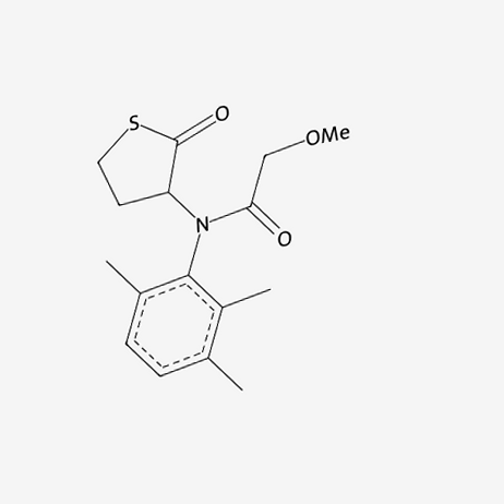 COCC(=O)N(c1c(C)ccc(C)c1C)C1CCSC1=O